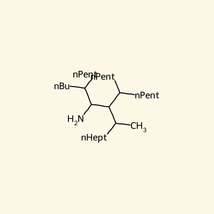 CCCCCCCC(C)C(C(CCCCC)CCCCC)C(N)C(CCCC)CCCCC